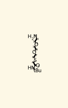 CC(C)(C)NC(=O)CSCCOCCOCCN